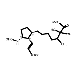 CCCCCCC=C[C@@H]1[C@H](CCCCC(C)C(O)(O)C(=O)OC)CC[C@H]1NC=O